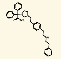 NC(=O)C(c1ccccc1)(c1ccccc1)C1CCN(CCc2ccc(CCNCCc3ccccc3)cc2)C1